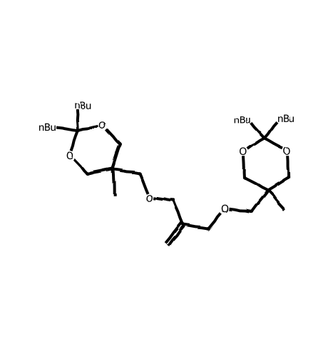 C=C(COCC1(C)COC(CCCC)(CCCC)OC1)COCC1(C)COC(CCCC)(CCCC)OC1